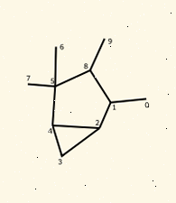 CC1C2CC2C(C)(C)C1C